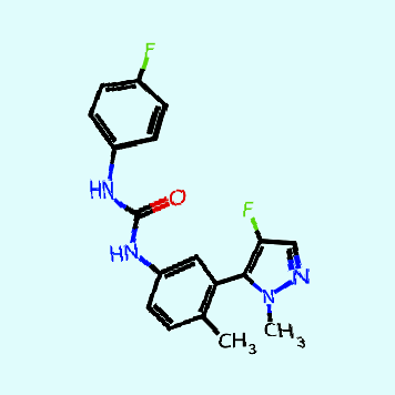 Cc1ccc(NC(=O)Nc2ccc(F)cc2)cc1-c1c(F)cnn1C